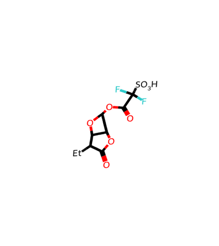 CCC1C(=O)OC2C(OC(=O)C(F)(F)S(=O)(=O)O)OC12